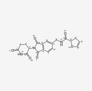 O=C1CCC(N2C(=O)c3ccc(CNC(=O)C4CC=CO4)cc3C2=O)C(=O)N1